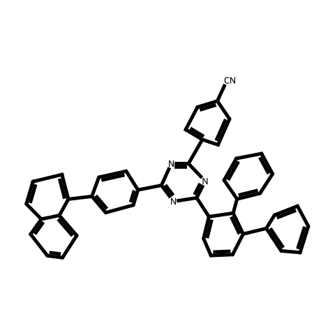 N#Cc1ccc(-c2nc(-c3ccc(-c4cccc5ccccc45)cc3)nc(-c3cccc(-c4ccccc4)c3-c3ccccc3)n2)cc1